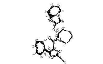 Cc1nc(C(=O)N2CCCC[C@H]2Cc2cn3ccccc3n2)c(-c2ccccc2)s1